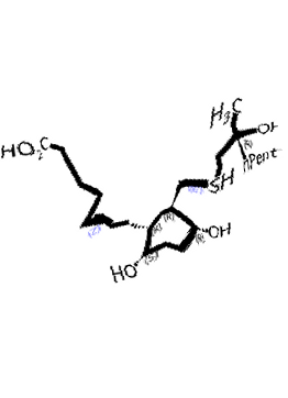 CCCCC[C@@](C)(O)C/[SH]=C/[C@@H]1[C@@H](C/C=C\CCCC(=O)O)[C@@H](O)C[C@H]1O